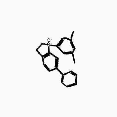 Cc1cc(C)cc([N+]2([O-])CCc3ccc(-c4ccccc4)cc32)c1